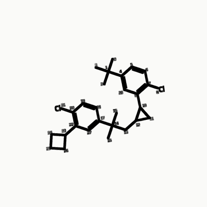 CC(C)(C)c1ccc(Cl)c(C2CC2CC(C)(C)c2ccc(Cl)c(C3CCC3)c2)c1